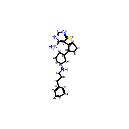 Nc1ncnc2sc3c(c12)C(C1CCC[C@H](NCCCc2ccccc2)C1)CC3